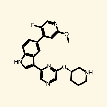 COc1cc(-c2ccc3[nH]cc(-c4cncc(O[C@@H]5CCCNC5)n4)c3c2)c(F)cn1